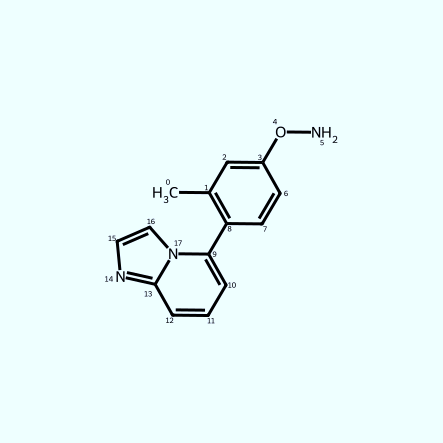 Cc1cc(ON)ccc1-c1cccc2nccn12